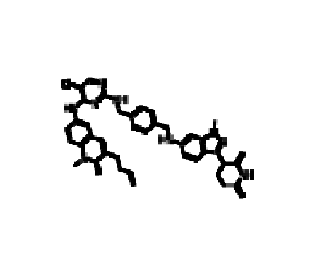 C=CCCC1=Cc2cc(Nc3nc(NCc4ccc(CNc5ccc6c(C7CCC(=C)NC7=C)nn(C)c6c5)cc4)ncc3Cl)ccc2N(C)C1=C